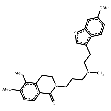 COc1ccc2c(CCN(C)CCCN3CCc4c(ccc(OC)c4OC)C3=O)csc2c1